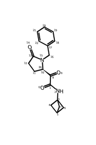 O=C(NC12CC(C1)C2)C(=O)[C@H]1CCC(=O)N1Cc1ccccc1